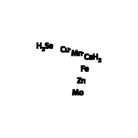 [CaH2].[Cu].[Fe].[Mn].[Mo].[SeH2].[Zn]